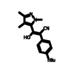 CCCCc1ccc(C(C#N)=C(O)c2c(C)c(C)nn2C)cc1